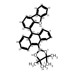 CC1(C)OB(c2c3ccccc3c(-c3cccc4c3oc3ccccc34)c3ccccc23)OC1(C)C